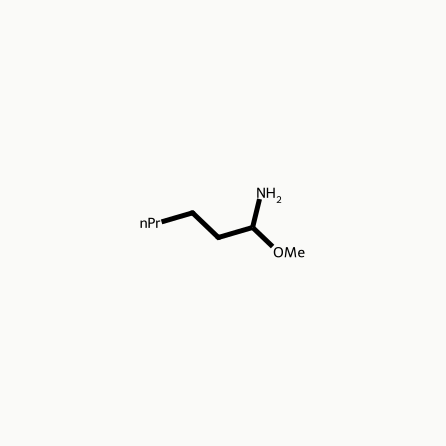 CCCCCC(N)OC